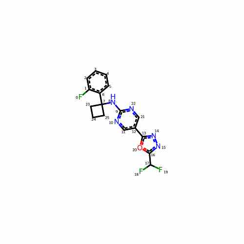 Fc1ccccc1C1(Nc2ncc(-c3nnc(C(F)F)o3)cn2)CCC1